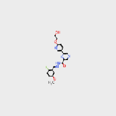 COc1ccc(F)c(/C=N/NC(=O)c2cncc(-c3ccc(OCCO)nc3)n2)c1